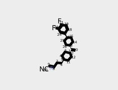 C=C([C@H]1CC[C@H](CC/C=C/C#N)CC1)[C@H]1CC[C@H](c2ccc(F)c(F)c2)CC1